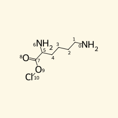 NCCCCC(N)C(=O)OCl